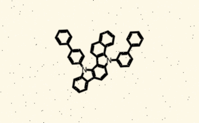 c1ccc(-c2ccc(-n3c4ccccc4c4ccc5c(c6ccc7ccccc7c6n5-c5cccc(-c6ccccc6)c5)c43)cc2)cc1